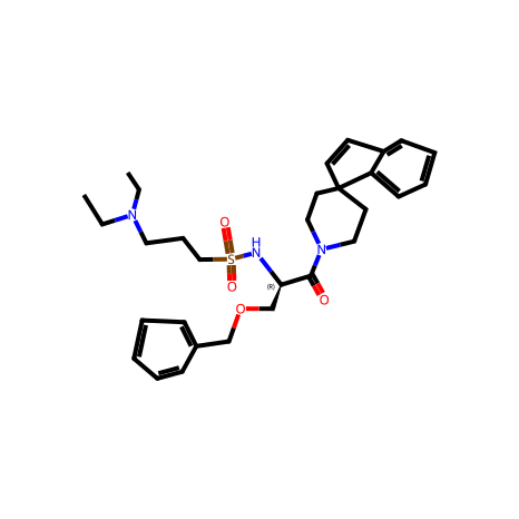 CCN(CC)CCCS(=O)(=O)N[C@H](COCc1ccccc1)C(=O)N1CCC2(C=Cc3ccccc32)CC1